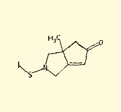 CC12CC(=O)C=C1CN(SI)C2